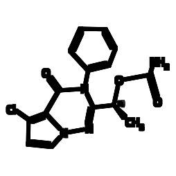 C[C@H](OC(N)=O)c1nn2ccc(Cl)c2c(=O)n1-c1ccccc1